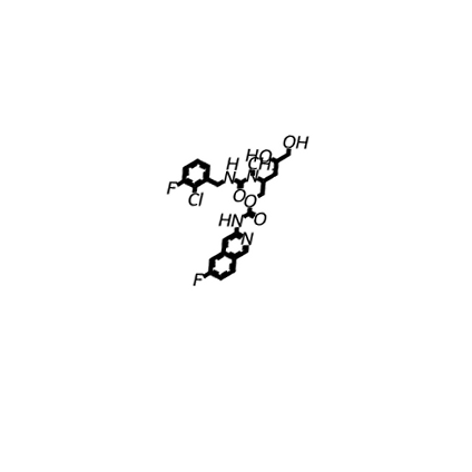 CN(C(=O)NCc1cccc(F)c1Cl)C(COC(=O)Nc1cc2cc(F)ccc2cn1)CC(O)CO